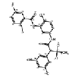 CC(Cl)(Cl)C(C(=O)Nc1ccc(Cl)c(NC(=O)c2cc(F)ccc2F)c1)c1cc(Cl)cc(Cl)c1